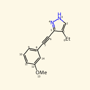 CCc1c[nH]nc1C#Cc1cccc(OC)c1